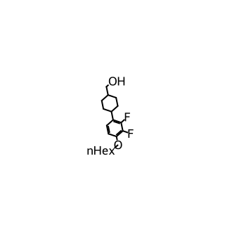 CCCCCCOc1ccc(C2CCC(CO)CC2)c(F)c1F